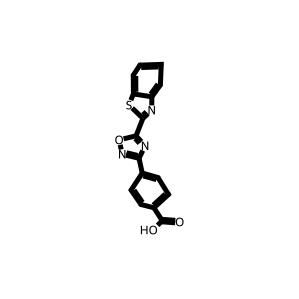 O=C(O)c1ccc(-c2noc(-c3nc4ccccc4s3)n2)cc1